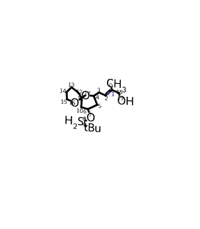 C/C(=C\CC1CC(O[SiH2]C(C)(C)C)CC2(CCCCO2)O1)CO